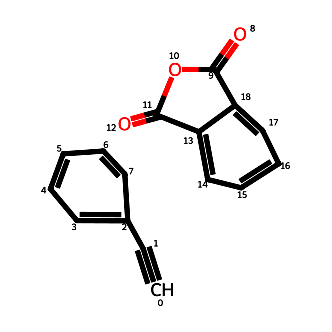 C#Cc1ccccc1.O=C1OC(=O)c2ccccc21